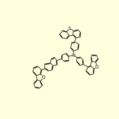 c1ccc2c(c1)oc1c(-c3ccc4cc(-c5ccc(N(c6ccc(-c7cccc8oc9ccccc9c78)cc6)c6ccc(-c7cccc8sc9ccccc9c78)cc6)cc5)ccc4c3)cccc12